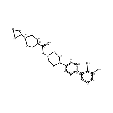 O=C(CN1CCN(c2ccc(-c3cccc(F)c3F)nn2)CC1)N1CCN(C2CCC2)CC1